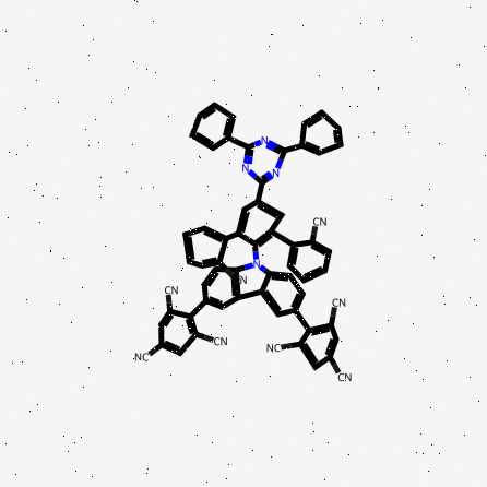 N#Cc1cc(C#N)c(-c2ccc3c(c2)c2cc(-c4c(C#N)cc(C#N)cc4C#N)ccc2n3-c2c(-c3ccccc3C#N)cc(-c3nc(-c4ccccc4)nc(-c4ccccc4)n3)cc2-c2ccccc2C#N)c(C#N)c1